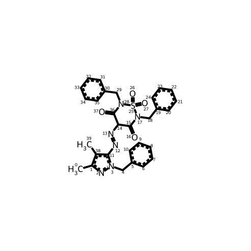 Cc1nn(Cc2ccccc2)c(N=NC2C(=O)N(Cc3ccccc3)S(=O)(=O)N(Cc3ccccc3)C2=O)c1C